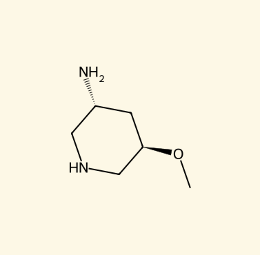 CO[C@H]1CNC[C@H](N)C1